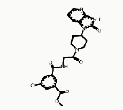 COC(=O)c1cc(Cl)cc(C(=O)NCC(=O)N2CCC(n3c(=O)[nH]c4ncccc43)CC2)c1